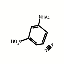 CC(=O)Nc1cccc(S(=O)(=O)O)c1.N#N